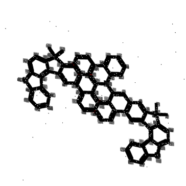 C[Si]1(C)c2cc3cc(N(c4ccccc4-c4ccccc4)c4cc5cc6c(cc5c5ccccc45)-c4c(ccc5oc7ccccc7c45)[Si]6(C)C)c4ccccc4c3cc2-c2c1ccc1oc3ccccc3c21